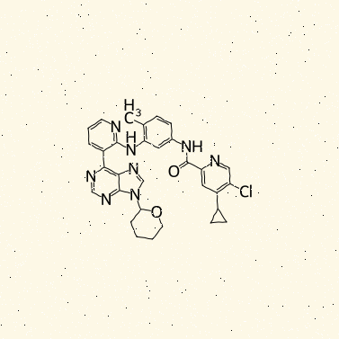 Cc1ccc(NC(=O)c2cc(C3CC3)c(Cl)cn2)cc1Nc1ncccc1-c1ncnc2c1ncn2C1CCCCO1